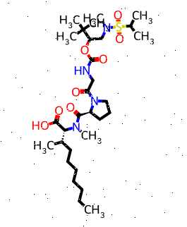 CCCCCCCC(C)[C@H](C(=O)O)N(C)C(=O)[C@@H]1CCCN1C(=O)CNC(=O)OC(CN(C)S(=O)(=O)C(C)C)C(C)(C)C